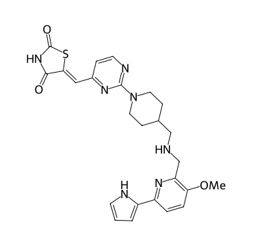 COc1ccc(-c2ccc[nH]2)nc1CNCC1CCN(c2nccc(/C=C3\SC(=O)NC3=O)n2)CC1